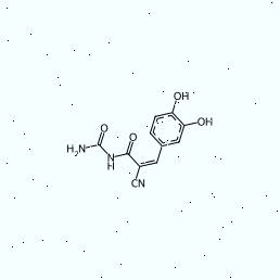 N#CC(=Cc1ccc(O)c(O)c1)C(=O)NC(N)=O